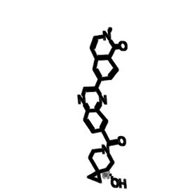 Cn1ccc2cc(-c3cnc4ccc(C(=O)N5CCC6(CC6)[C@@H](O)C5)cc4n3)ccc2c1=O